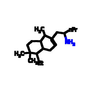 CCCC(N)CC1=CCC2C(CCC(C)(C)C2CC)C1C